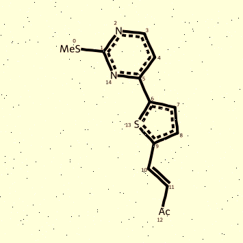 CSc1nccc(-c2ccc(/C=C/C(C)=O)s2)n1